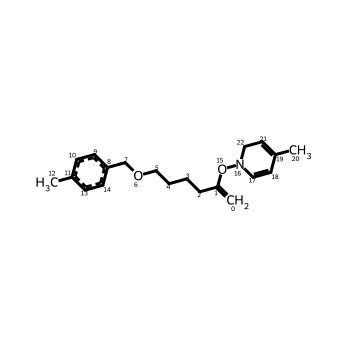 C=C(CCCCOCc1ccc(C)cc1)ON1C=CC(C)=CC1